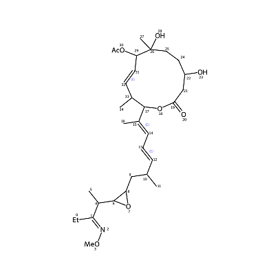 CCC(=NOC)C(C)C1OC1CC(C)/C=C/C=C(\C)C1OC(=O)CC(O)CCC(C)(O)C(OC(C)=O)/C=C/C1C